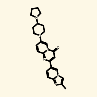 Cc1cn2cc(-c3cc(=O)n4cc(N5CCC(N6CCCC6)CC5)ccc4n3)ccc2n1